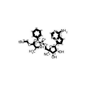 C[C@H](NP(=O)(OC[C@@]1(C#N)O[C@@H](c2ccc3c(N)ncnn23)[C@H](O)[C@@H]1O)Oc1ccccc1)C(=O)OCC(C)(C)C